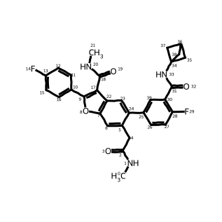 CNC(=O)Cc1cc2oc(-c3ccc(F)cc3)c(C(=O)NC)c2cc1-c1ccc(F)c(C(=O)NC23CC(C2)C3)c1